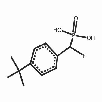 CC(C)(C)c1ccc(C(F)P(=O)(O)O)cc1